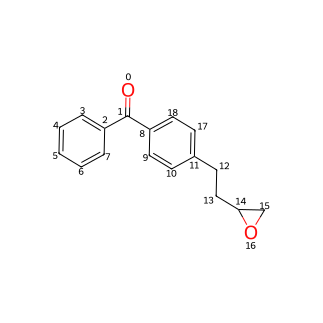 O=C(c1ccccc1)c1ccc(CCC2CO2)cc1